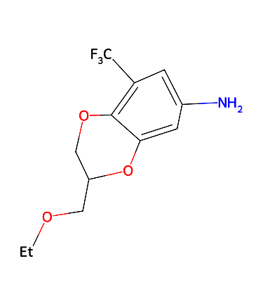 CCOCC1COc2c(cc(N)cc2C(F)(F)F)O1